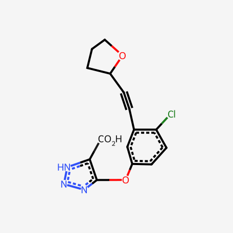 O=C(O)c1[nH]nnc1Oc1ccc(Cl)c(C#CC2CCCO2)c1